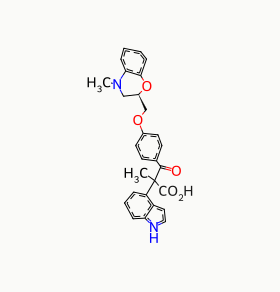 CN1C[C@H](COc2ccc(C(=O)C(C)(C(=O)O)c3cccc4[nH]ccc34)cc2)Oc2ccccc21